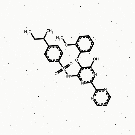 CCC(C)c1ccc(S(=O)(=O)Nc2nc(-c3ncccn3)nc(O)c2Oc2ccccc2OC)cc1